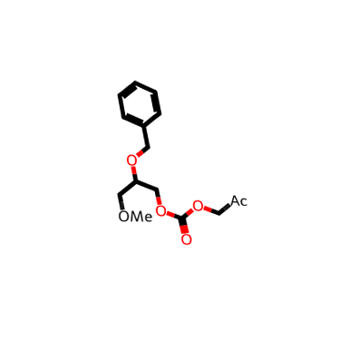 COCC(COC(=O)OCC(C)=O)OCc1ccccc1